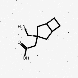 NCC1(CC(=O)O)CC2CCC2C1